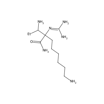 CCC(N)C(CCCCCCN)(N=C(N)N)C(N)=O